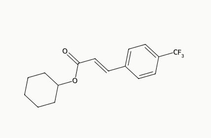 O=C(C=Cc1ccc(C(F)(F)F)cc1)OC1CCCCC1